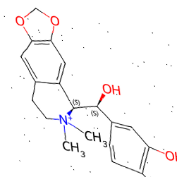 COc1ccc([C@H](O)[C@@H]2c3cc4c(cc3CC[N+]2(C)C)OCO4)cc1O